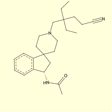 CCC(CC)(CCC#N)CN1CCC2(CC1)C[C@H](NC(C)=O)c1ccccc12